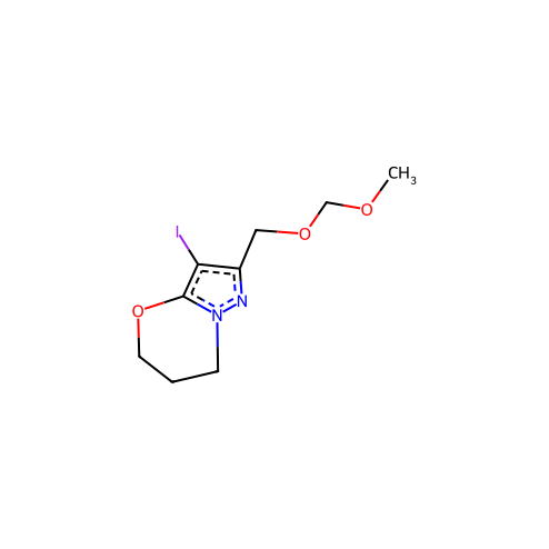 COCOCc1nn2c(c1I)OCCC2